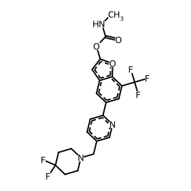 CNC(=O)Oc1cc2cc(-c3ccc(CN4CCC(F)(F)CC4)cn3)cc(C(F)(F)F)c2o1